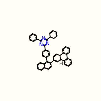 C1=CCC(c2nc(-c3ccccc3)nc(-c3ccc(-c4c(C5=C[C@H]6c7ccccc7-c7ccccc7C6C=C5)ccc5ccccc45)cc3)n2)C=C1